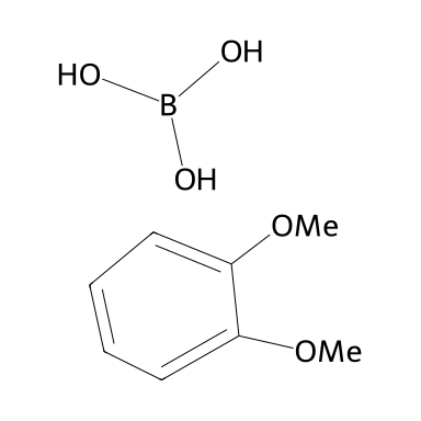 COc1ccccc1OC.OB(O)O